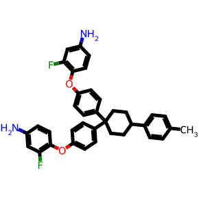 Cc1ccc(C2CCC(c3ccc(Oc4ccc(N)cc4F)cc3)(c3ccc(Oc4ccc(N)cc4F)cc3)CC2)cc1